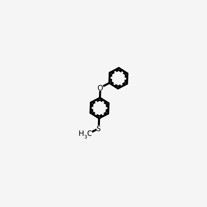 CSc1ccc(Oc2ccccc2)cc1